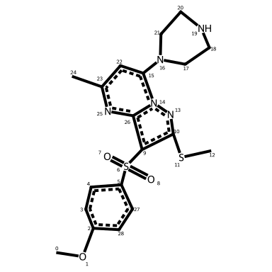 COc1ccc(S(=O)(=O)c2c(SC)nn3c(N4CCNCC4)cc(C)nc23)cc1